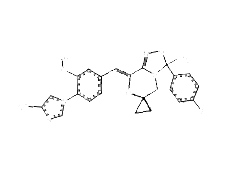 COc1cc(/C=C2\OC3(CC3)CN3C2=NOC3(C)c2ccc(F)cc2)ccc1-n1cnc(C)c1